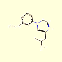 CCCCCCCc1cccc(N2C=C(CC(C)OC(C)=O)N=CC2)c1